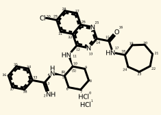 Cl.Cl.N=C(N[C@@H]1CCCC[C@@H]1Nc1nc(C(=O)NC2CCCCCC2)nc2ccc(Cl)cc12)c1ccccc1